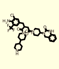 C[N+]1(C(=O)C(CC(=O)N2CCC(N3Cc4ccccc4NC3=O)CC2)Cc2cc(Cl)c(N)c(C(F)(F)F)c2)CCC(C2CCNCC2)CC1